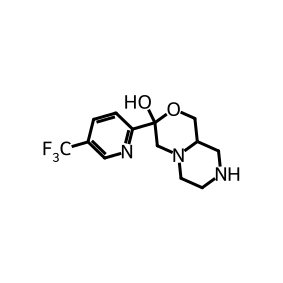 OC1(c2ccc(C(F)(F)F)cn2)CN2CCNCC2CO1